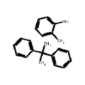 CC(C)(c1ccccc1)c1ccccc1.Cc1ccccc1O